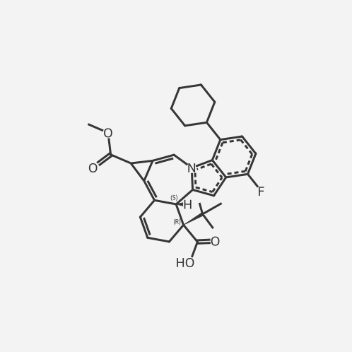 COC(=O)C1C2=Cn3c(cc4c(F)ccc(C5CCCCC5)c43)[C@H]3C(=C21)C=CC[C@]3(C(=O)O)C(C)(C)C